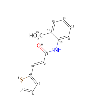 O=C(C=Cc1cccs1)Nc1ccccc1C(=O)O